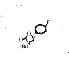 CC(C)(C)N1C[C@@H](c2ccc(F)cc2)OC1=O